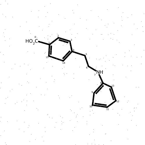 O=C(O)c1ccc(CCNc2ccccc2)cc1